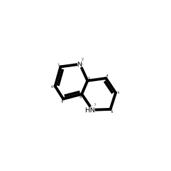 C1=C[N]C2C=CCNC2=C1